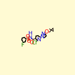 CC1(COc2ccn(-c3ccc(C(=O)NS(=O)(=O)c4cccc(F)c4)c(Cl)n3)n2)CC1